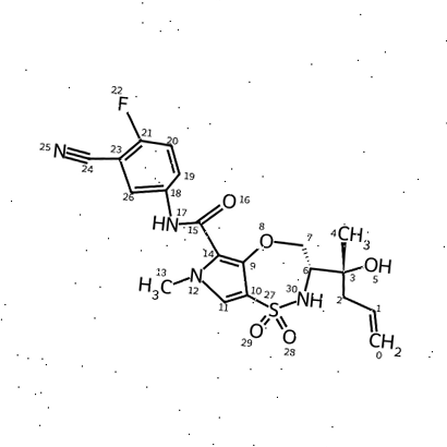 C=CC[C@@](C)(O)[C@H]1COc2c(cn(C)c2C(=O)Nc2ccc(F)c(C#N)c2)S(=O)(=O)N1